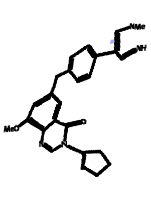 CN/C=C(\C=N)c1ccc(Cc2cc(OC)c3ncn(C4CCCC4)c(=O)c3c2)cc1